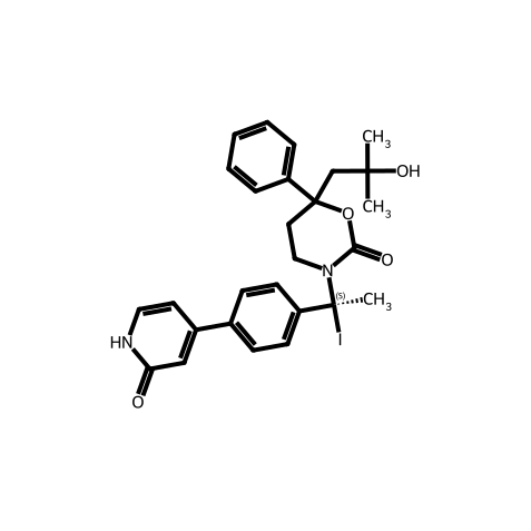 CC(C)(O)CC1(c2ccccc2)CCN([C@@](C)(I)c2ccc(-c3cc[nH]c(=O)c3)cc2)C(=O)O1